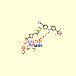 Cc1ccc(-c2c(C)noc2C)cc1N(CCCCCOCC(=O)N[C@H](C(=O)N1C[C@@H](CC(=O)O)C[C@H]1NC(=O)[C@@H](C)c1ccc(-c2sccc2C)cc1)C(C)(C)C)c1ccc(C#N)c(Cl)c1